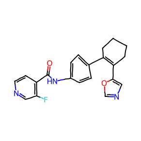 O=C(Nc1ccc(C2=C(c3cnco3)CCCC2)cc1)c1ccncc1F